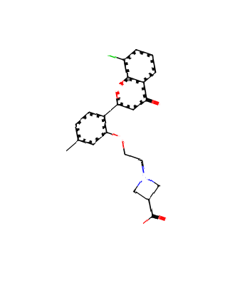 Cc1ccc(-c2cc(=O)c3cccc(Cl)c3o2)c(OCCN2CC(C(=O)O)C2)c1